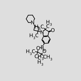 CC1(N2c3cc(B4OC(C)(C)C(C)(C)O4)ccc3C(=O)C2(C)C)CC(N2CCCCC2)C1